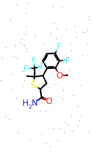 COc1c(C2CC(C(N)=O)SC2(C)C(F)(F)F)ccc(F)c1F